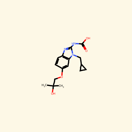 CC(C)(O)COc1ccc2nc(NC(=O)O)n(CC3CC3)c2c1